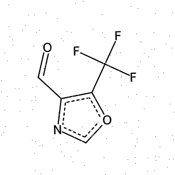 O=Cc1ncoc1C(F)(F)F